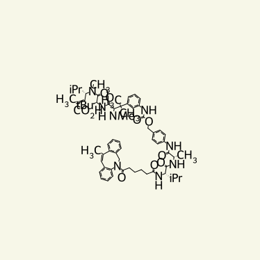 CNC(C(=O)N[C@H](C(=O)N(C)[C@H](/C=C(\C)C(=O)O)C(C)C)C(C)(C)C)C(C)(C)c1cccc(NC(=O)OCc2ccc(NC(=O)[C@H](C)NC(=O)[C@@H](NC(=O)CCCCC(=O)N3Cc4ccccc4/C(C)=C\c4ccccc43)C(C)C)cc2)c1